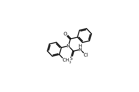 Cc1ccccc1N(C(=O)c1ccccc1)C(=S)NCl